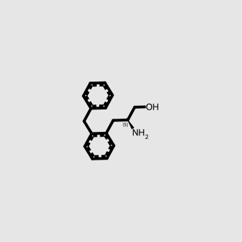 N[C@H](CO)Cc1ccccc1Cc1ccccc1